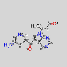 CC(CC=O)n1cc(C(=O)c2cncc(N)c2)c2cncnc21